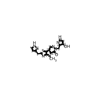 Cn1c2nc(Cc3cc[nH]n3)sc2c2cnn(Cc3n[nH]cc3O)c(=O)c21